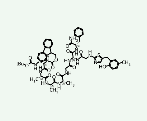 Cc1ccc(O)c(Cc2cnc(NCC(=O)N[C@H](NC(=O)CNC(=O)[C@H](C)NC(=O)[C@H](C)NC(=O)[C@H](C)NC(=O)[C@H](CNC(=O)OC(C)(C)C)NC(=O)OCC3c4ccccc4-c4ccccc43)C(=O)N[C@@H](Cc3ccccc3)C(N)=O)s2)c1